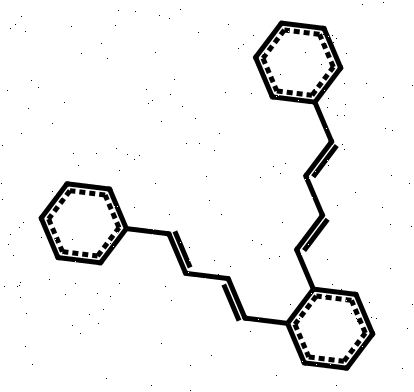 C(C=Cc1ccccc1C=CC=Cc1ccccc1)=Cc1ccccc1